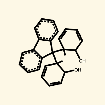 CC1(C2(C3(C)C=CC=CC3O)c3ccccc3-c3ccccc32)C=CC=CC1O